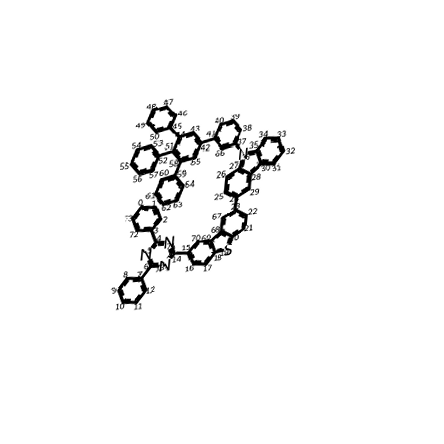 c1ccc(-c2nc(-c3ccccc3)nc(-c3ccc4sc5ccc(-c6ccc7c(c6)c6ccccc6n7-c6cccc(-c7cc(-c8ccccc8)c(-c8ccccc8)c(-c8ccccc8)c7)c6)cc5c4c3)n2)cc1